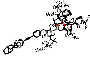 COC(=O)N[C@H](C(=O)N[C@@H](Cc1ccc(C#Cc2cnc(N3CC4CCC(C3)N4C3COC3)nc2)cc1)[C@H](CN(Cc1c(F)cc(-c2ccn(C(F)F)n2)cc1F)NC(=O)[C@@H](NC(=O)OC)C(C)(C)C(F)(F)F)OC(=O)CC(C)(C)c1c(CC(=O)NCC(=O)OC(C)(C)C)cccc1OP(=O)(O)O)C(C)(C)C(F)(F)F